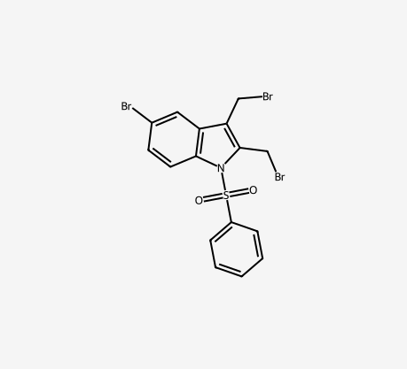 O=S(=O)(c1ccccc1)n1c(CBr)c(CBr)c2cc(Br)ccc21